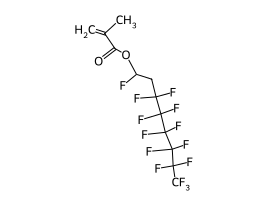 C=C(C)C(=O)OC(F)CC(F)(F)C(F)(F)C(F)(F)C(F)(F)C(F)(F)C(F)(F)F